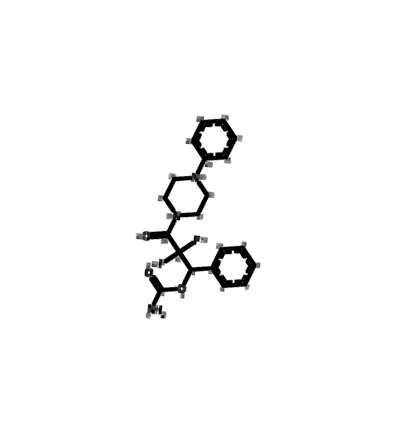 NC(=O)OC(c1ccccc1)C(F)(F)C(=O)N1CCN(c2ccccc2)CC1